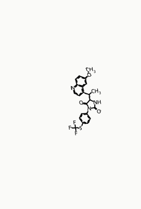 COc1ccc2nccc(C(C)C3NC(=O)N(c4ccc(SC(F)(F)F)cc4)C3=O)c2c1